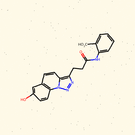 O=C(CCc1nnn2c1ccc1cc(O)ccc12)Nc1ccccc1C(=O)O